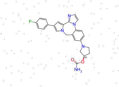 NC(=O)O[C@@H]1CCN(c2ccc3c(c2)Cn2cc(-c4ccc(F)cc4)cc2-c2nccn2-3)C1